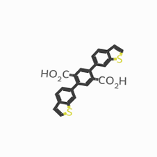 O=C(O)c1cc(-c2ccc3ccsc3c2)c(C(=O)O)cc1-c1ccc2ccsc2c1